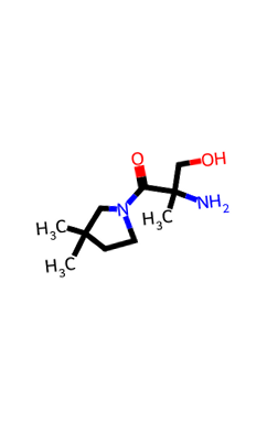 CC1(C)CCN(C(=O)C(C)(N)CO)C1